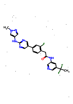 Cn1cc(Nc2ncc(-c3ccc(CC(=O)Nc4cncc(C(C)(F)F)c4)c(F)c3)cn2)cn1